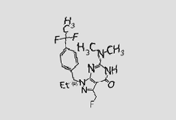 CC[C@H](c1ccc(C(C)(F)F)cc1)n1nc(CF)c2c(=O)[nH]c(N(C)C)nc21